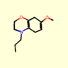 CCCN1CCOC2=C1CC=C(OC)C2